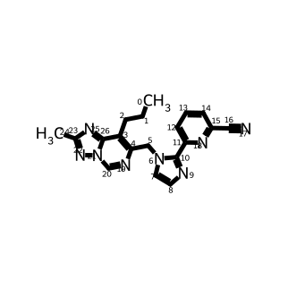 CCCc1c(Cn2ccnc2-c2cccc(C#N)n2)ncn2nc(C)nc12